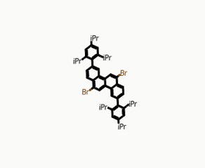 CC(C)c1cc(C(C)C)c(-c2ccc3c(Br)cc4c5cc(-c6c(C(C)C)cc(C(C)C)cc6C(C)C)ccc5c(Br)cc4c3c2)c(C(C)C)c1